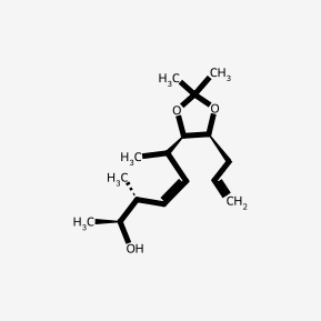 C=CC[C@@H]1OC(C)(C)O[C@@H]1C(C)/C=C\[C@@H](C)[C@H](C)O